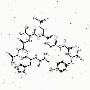 C[C@H](N)C(=O)N[C@@H](Cc1c[nH]cn1)C(=O)N[C@@H](CCC(N)=O)C(=O)N[C@H](C(=O)N[C@@H](CCC(=O)O)C(=O)NCC(=O)N[C@@H](C)C(=O)N[C@@H](Cc1ccc(O)cc1)C(=O)O)[C@@H](C)O